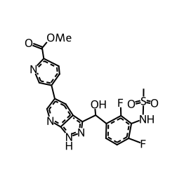 COC(=O)c1ccc(-c2cnc3[nH]nc(C(O)c4ccc(F)c(NS(C)(=O)=O)c4F)c3c2)cn1